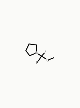 COC(F)(F)N1CCCC1